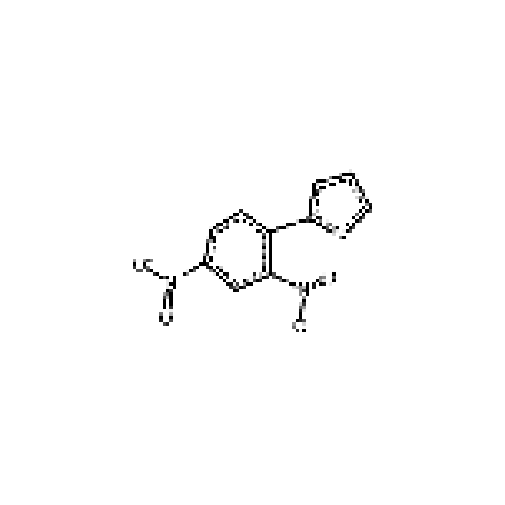 O=[N+]([O-])c1ccc(-c2c[c]cs2)c([N+](=O)[O-])c1